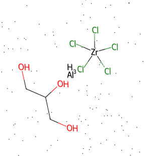 OCC(O)CO.[AlH3].[Cl][Zr]([Cl])([Cl])([Cl])[Cl]